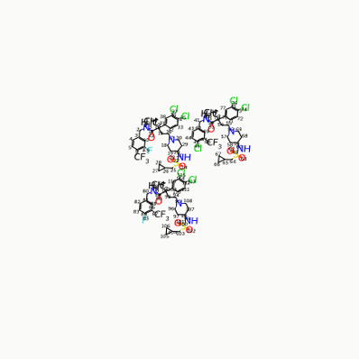 CN(Cc1ccc(C(F)(F)F)c(F)c1)C(=O)C(C)(CCN1CCC(NS(=O)(=O)CC2CC2)CC1)c1ccc(Cl)c(Cl)c1.CN(Cc1ccc(Cl)c(C(F)(F)F)c1)C(=O)C(C)(CCN1CCC(NS(=O)(=O)CC2CC2)CC1)c1ccc(Cl)c(Cl)c1.CN(Cc1ccc(F)c(C(F)(F)F)c1)C(=O)C(C)(CCN1CCC(NS(=O)(=O)CC2CC2)CC1)c1ccc(Cl)c(Cl)c1